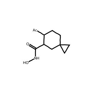 CC(=O)C1CCC2(CC2)CC1C(=O)NO